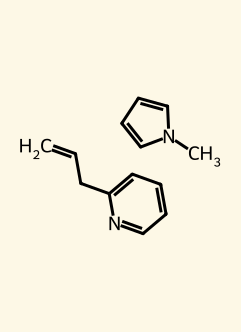 C=CCc1ccccn1.Cn1cccc1